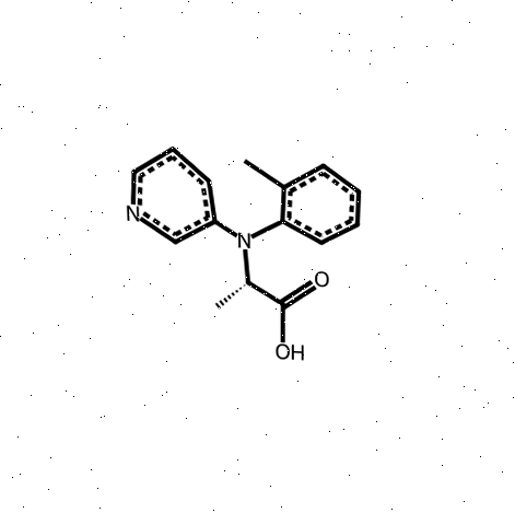 Cc1ccccc1N(c1cccnc1)[C@@H](C)C(=O)O